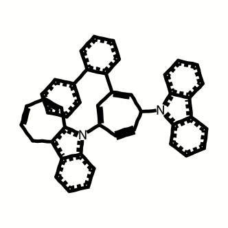 C1#CC(n2c3ccccc3c3ccccc32)C=C(c2ccccc2-c2ccccc2)C=C1n1c2c(c3ccccc31)CC=CC=C2